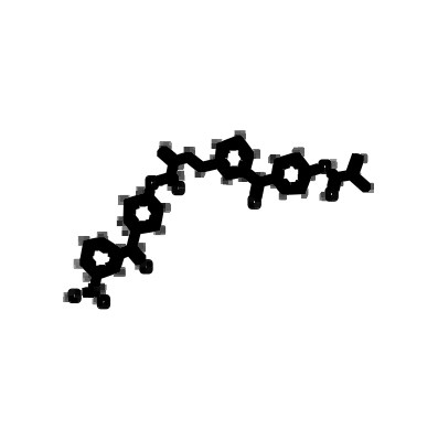 C=C(C)C(=O)Oc1ccc(C(=O)c2cccc(CCC(=C)C(=O)Oc3ccc(C(=O)c4cccc([N+](=O)[O-])c4)cc3)c2)cc1